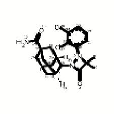 CC1(C)C(=O)N(C2[C@@H]3CC4C[C@H]2CC(C(N)=O)(C4)C3)N1c1cccc(Cl)c1Cl